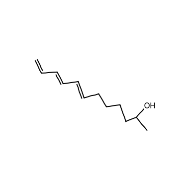 C=C/C=C/C=C/CCCCC(C)O